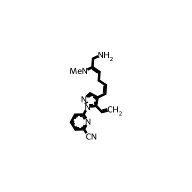 C=Cc1c(/C=C\C/C=C(/CN)NC)cnn1-c1cccc(C#N)n1